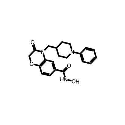 O=C(NO)c1ccc2c(c1)N(CC1CCN(c3ccccc3)CC1)C(=O)CO2